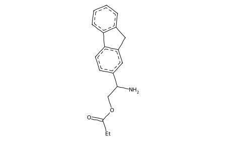 CCC(=O)OCC(N)c1ccc2c(c1)Cc1ccccc1-2